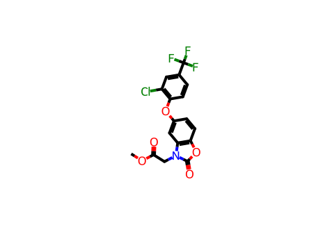 COC(=O)Cn1c(=O)oc2ccc(Oc3ccc(C(F)(F)F)cc3Cl)cc21